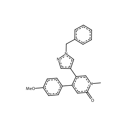 COc1ccc(-c2cc(=O)n(C)cc2-c2cnn(Cc3ccccc3)c2)cc1